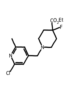 CCOC(=O)C1(F)CCN(Cc2cc(C)nc(Cl)c2)CC1